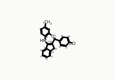 Cc1ccc2c(c1)OC(c1ccc(Cl)cc1)C1=C(N2)c2ccccc2C1